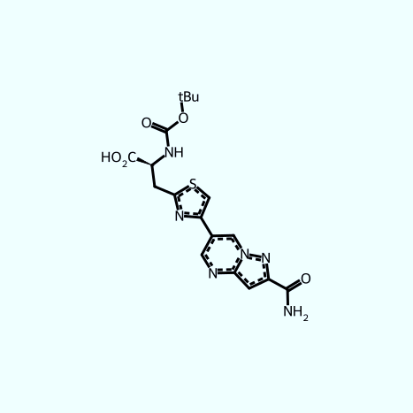 CC(C)(C)OC(=O)N[C@@H](Cc1nc(-c2cnc3cc(C(N)=O)nn3c2)cs1)C(=O)O